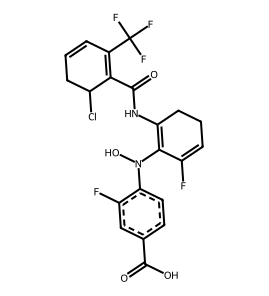 O=C(NC1=C(N(O)c2ccc(C(=O)O)cc2F)C(F)=CCC1)C1=C(C(F)(F)F)C=CCC1Cl